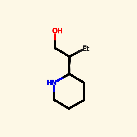 CCC(CO)C1CCCCN1